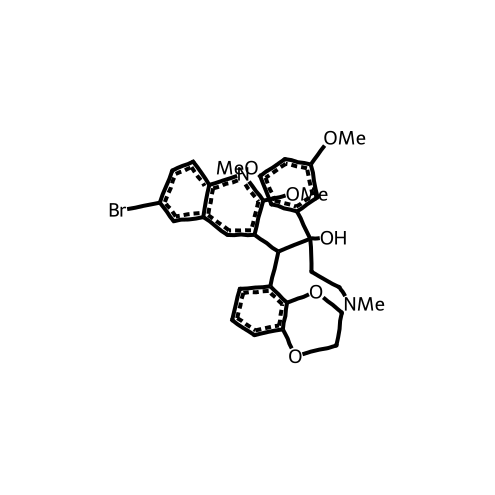 CNCCC(O)(c1cc(OC)cc(OC)c1)C(c1cc2cc(Br)ccc2nc1OC)c1cccc2c1OCCO2